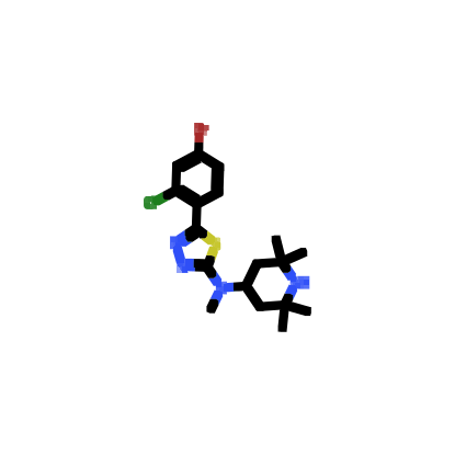 CN(c1nnc(-c2ccc(Br)cc2Cl)s1)C1CC(C)(C)NC(C)(C)C1